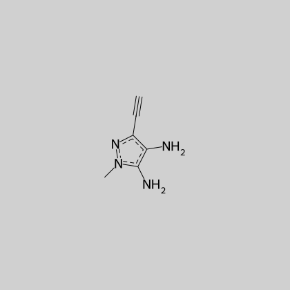 C#Cc1nn(C)c(N)c1N